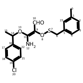 Cc1cccc(CSO/C(C=O)=C(\N)OC(C)c2ccc(Cl)cc2)c1